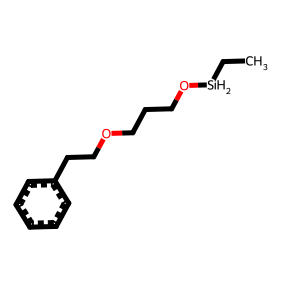 CC[SiH2]OCCCOCCc1ccccc1